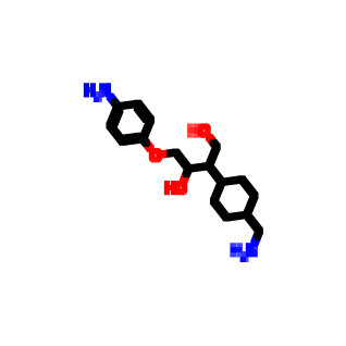 NCC1CCC(C(CO)C(O)COc2ccc(N)cc2)CC1